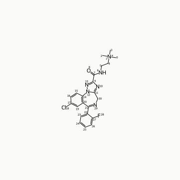 C[N+](C)(C)CCNC(=O)c1nc2n(n1)-c1ccc(Cl)cc1C(c1ccccc1F)=NC2